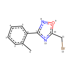 Cc1ccccc1-c1noc(CBr)n1